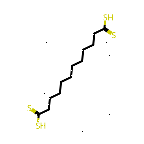 S=C(S)CCCCCCCCCCC(=S)S